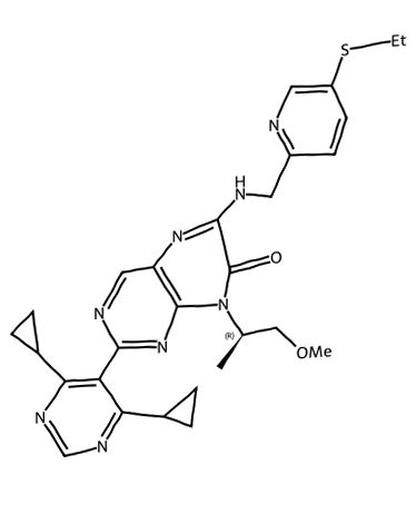 CCSc1ccc(CNc2nc3cnc(-c4c(C5CC5)ncnc4C4CC4)nc3n([C@H](C)COC)c2=O)nc1